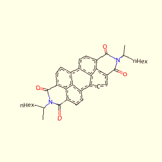 CCCCCCC(C)N1C(=O)c2ccc3c4ccc5c6c(ccc(c7ccc(c2c37)C1=O)c64)C(=O)N(C(C)CCCCCC)C5=O